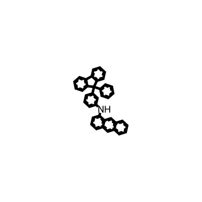 c1ccc(C2(c3cccc(Nc4cccc5cc6ccccc6cc45)c3)c3ccccc3-c3ccccc32)cc1